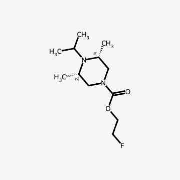 CC(C)N1[C@H](C)CN(C(=O)OCCF)C[C@@H]1C